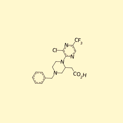 O=C(O)CC1CN(Cc2ccccc2)CCN1c1ncc(C(F)(F)F)nc1Cl